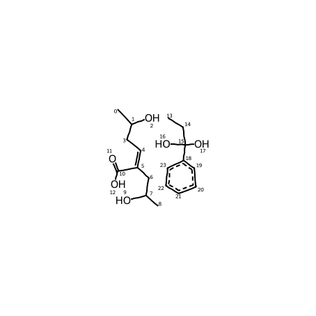 CC(O)CC=C(CC(C)O)C(=O)O.CCC(O)(O)c1ccccc1